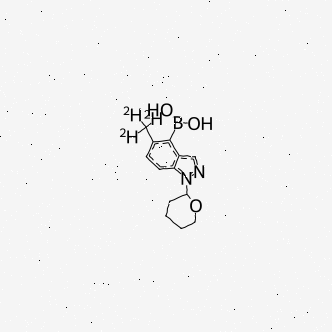 [2H]C([2H])([2H])c1ccc2c(cnn2C2CCCCO2)c1B(O)O